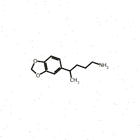 CC(CCCN)c1ccc2c(c1)OCO2